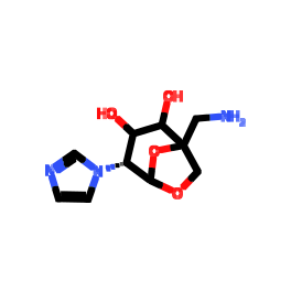 NCC12COC(O1)[C@H](n1ccnc1)C(O)C2O